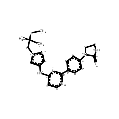 COC(C)(C)Cn1cc(Nc2ccnc(-c3ccc(N4CCNC4=O)cc3)n2)cn1